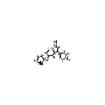 CN1CC=C(c2c[nH]c3ccc(Oc4ccccn4)cc23)CC1